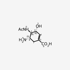 CC(=O)N[C@H]1[C@H](O)C=C(C(=O)O)C[C@@H]1N